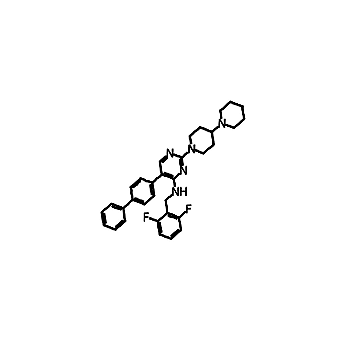 Fc1cccc(F)c1CNc1nc(N2CCC(N3CCCCC3)CC2)ncc1-c1ccc(-c2ccccc2)cc1